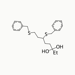 CCC(O)(O)CCC(CCSCc1ccccc1)SCc1ccccc1